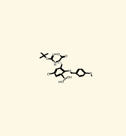 COc1ccc(COc2c(C[C@H](NC(=O)OC(C)(C)C)C(=O)O)cc(Cl)cc2B(O)O)cc1